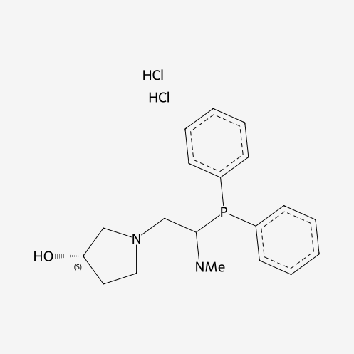 CNC(CN1CC[C@H](O)C1)P(c1ccccc1)c1ccccc1.Cl.Cl